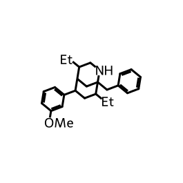 CCC1CNC2(Cc3ccccc3)CC1C(c1cccc(OC)c1)CC2CC